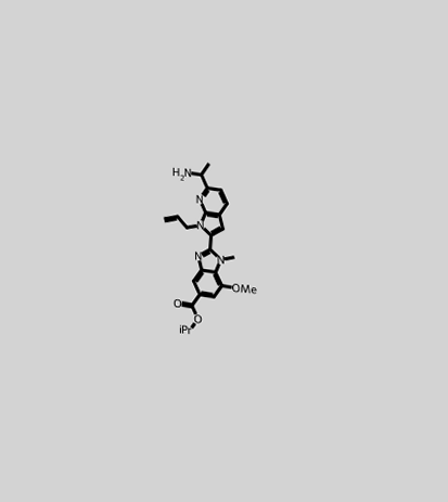 C=CCn1c(-c2nc3cc(C(=O)OC(C)C)cc(OC)c3n2C)cc2ccc(C(C)N)nc21